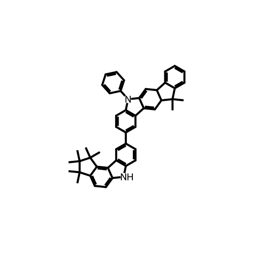 CC1(C)c2ccccc2C2C=c3c(c4cc(-c5ccc6[nH]c7ccc8c(c7c6c5)C(C)(C)C(C)(C)C8(C)C)ccc4n3-c3ccccc3)=CC21